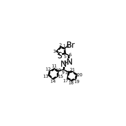 Brc1ccsc1/C=N\N=C(c1ccccc1)c1ccccc1